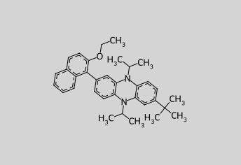 CCOc1ccc2ccccc2c1-c1ccc2c(c1)N(C(C)C)c1ccc(C(C)(C)C)cc1N2C(C)C